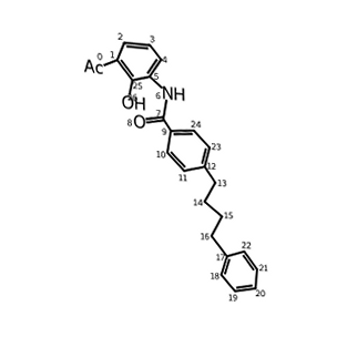 CC(=O)c1cccc(NC(=O)c2ccc(CCCCc3ccccc3)cc2)c1O